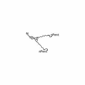 CCCCC/C=C\C/C=C\CCCCCCCCOCC(COCCCCCCCC/C=C\C/C=C\CCCCC)N1CCN(CCCN(C)C)CC1